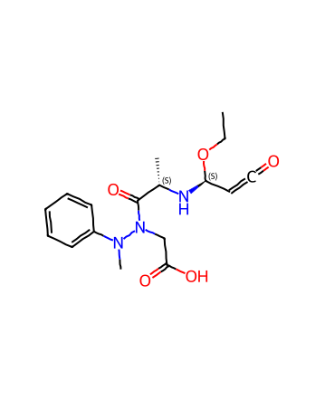 CCO[C@@H](C=C=O)N[C@@H](C)C(=O)N(CC(=O)O)N(C)c1ccccc1